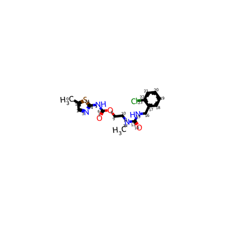 Cc1cnc(NC(=O)OCCN(C)C(=O)NCc2ccccc2Cl)s1